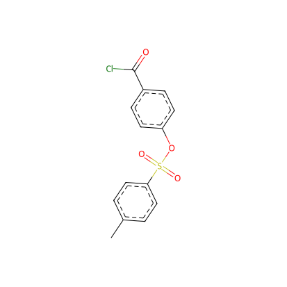 Cc1ccc(S(=O)(=O)Oc2ccc(C(=O)Cl)cc2)cc1